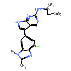 COC[C@H](C)Nc1ncc2c(-c3cc(F)c4nc(C)n(C(C)C)c4c3)c[nH]c2n1